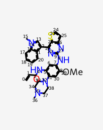 C=CC(=O)Nc1cc(Nc2nc(-c3cn(C)c4ccccc34)c3sccc3n2)c(OC)cc1N1CCN(C)CC1